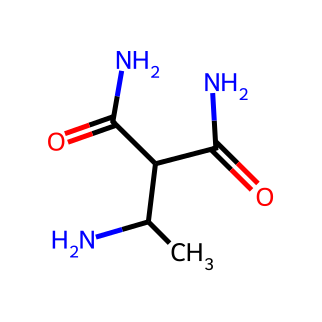 CC(N)C(C(N)=O)C(N)=O